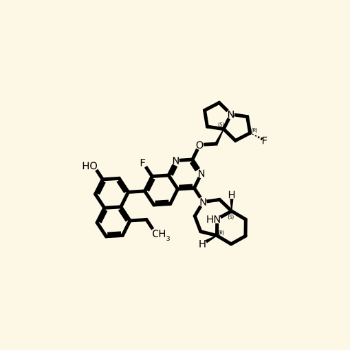 CCc1cccc2cc(O)cc(-c3ccc4c(N5CC[C@H]6CCC[C@@H](C5)N6)nc(OC[C@@]56CCCN5C[C@H](F)C6)nc4c3F)c12